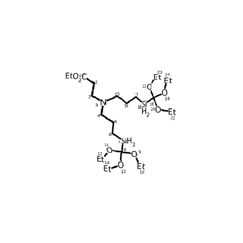 CCOC(=O)CCN(CCC[SiH2]C(OCC)(OCC)OCC)CCC[SiH2]C(OCC)(OCC)OCC